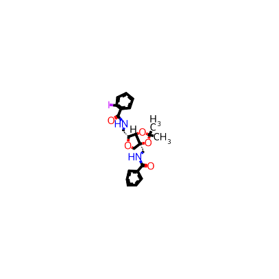 CC1(C)O[C@@H]2[C@@H](CNC(=O)c3ccccc3I)OC[C@]2(CNC(=O)c2ccccc2)O1